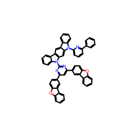 c1ccc(-c2cccc(-n3c4ccccc4c4cc5c6ccccc6n(-c6nc(-c7ccc8oc9ccccc9c8c7)cc(-c7ccc8oc9ccccc9c8c7)n6)c5cc43)n2)cc1